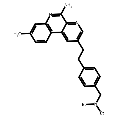 CCN(CC)Cc1ccc(CCc2cnc3c(N)nc4cc(C)ccc4c3c2)cc1